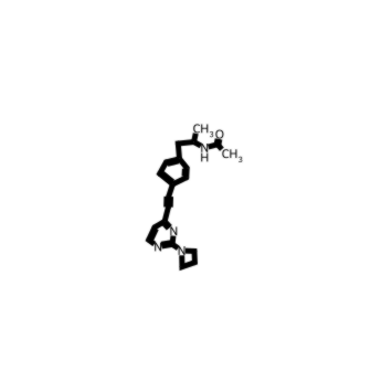 CC(=O)NC(C)Cc1ccc(C#Cc2ccnc(N3CCC3)n2)cc1